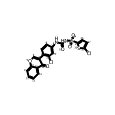 O=C(Nc1ccc(-c2coc3ccccc3c2=O)c(Cl)c1)NS(=O)(=O)c1ccc(Cl)s1